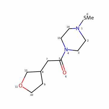 CSN1CCN(C(=O)CC2CCOC2)CC1